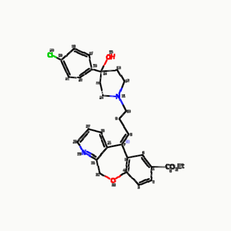 CCOC(=O)c1ccc2c(c1)/C(=C/CCN1CCC(O)(c3ccc(Cl)cc3)CC1)c1cccnc1CO2